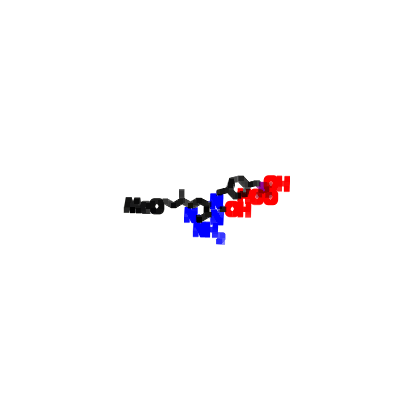 COCCC(C)c1cc2c(nc(O)n2Cc2ccc(CP(=O)(O)O)cc2)c(N)n1